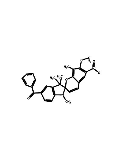 COc1c([N+](=O)[O-])cc2c(c1C)OC1(C=C2)N(C)c2ccc(C(=O)c3ccccc3)cc2C1(C)C